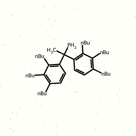 CCCCc1ccc(C(C)(P)c2ccc(CCCC)c(CCCC)c2CCCC)c(CCCC)c1CCCC